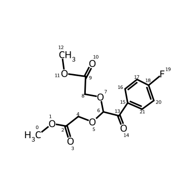 COC(=O)COC(OCC(=O)OC)C(=O)c1ccc(F)cc1